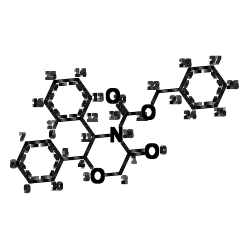 O=C1COC(c2ccccc2)C(c2ccccc2)N1C(=O)OCc1ccccc1